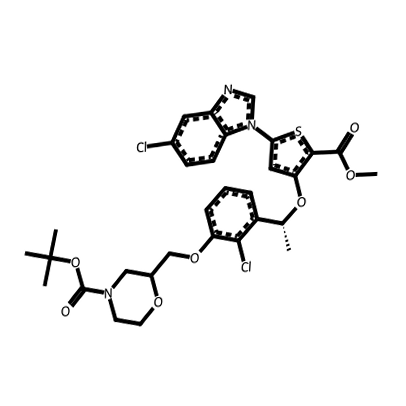 COC(=O)c1sc(-n2cnc3cc(Cl)ccc32)cc1O[C@H](C)c1cccc(OCC2CN(C(=O)OC(C)(C)C)CCO2)c1Cl